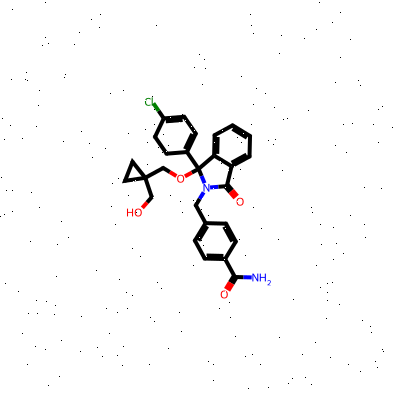 NC(=O)c1ccc(CN2C(=O)c3ccccc3C2(OCC2(CO)CC2)C2=CC=C(Cl)CC2)cc1